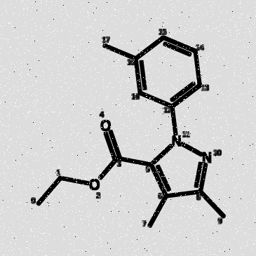 CCOC(=O)c1c(C)c(C)nn1-c1cccc(C)c1